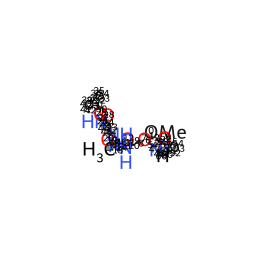 COc1cc2c(cc1OCCCC(=O)Nc1cn(C)c(C(=O)Nc3ccc(NC(=O)OCC4c5ccccc5-c5ccccc54)cc3)n1)N=C[C@@H]1Cc3ccccc3N1C2=O